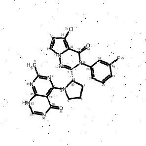 Cc1nc(N2CCC[C@H]2c2nn3ccc(Cl)c3c(=O)n2-c2cccc(F)c2)c2c(=O)nc[nH]c2n1